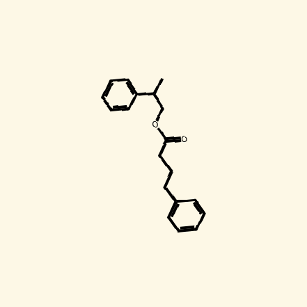 CC(COC(=O)CCCc1ccccc1)c1ccccc1